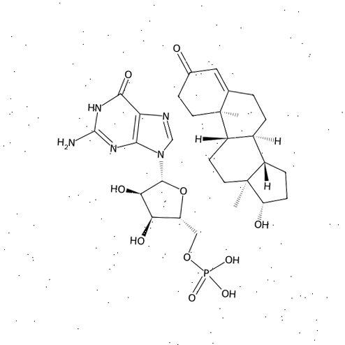 C[C@]12CC[C@H]3[C@@H](CCC4=CC(=O)CC[C@@]43C)[C@@H]1CC[C@@H]2O.Nc1nc2c(ncn2[C@@H]2O[C@H](COP(=O)(O)O)[C@@H](O)[C@H]2O)c(=O)[nH]1